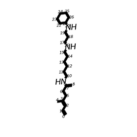 C=C/C=C(\C)CCC(=C)NCCCCCCNCCCNC1CCCCC1